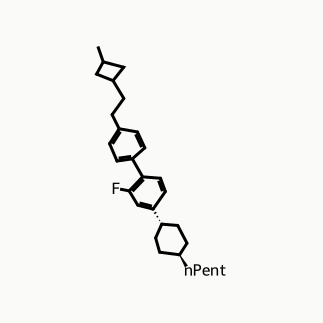 CCCCC[C@H]1CC[C@H](c2ccc(-c3ccc(CCC4CC(C)C4)cc3)c(F)c2)CC1